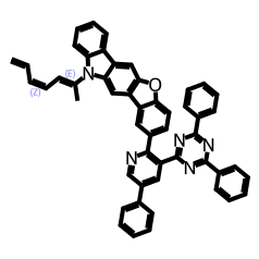 C=C/C=C\C=C(/C)n1c2ccccc2c2cc3oc4ccc(-c5ncc(-c6ccccc6)cc5-c5nc(-c6ccccc6)nc(-c6ccccc6)n5)cc4c3cc21